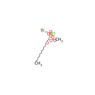 CCCCCCCCCCCCOCC(COP(=O)(Cl)OCCBr)OC(=O)OC